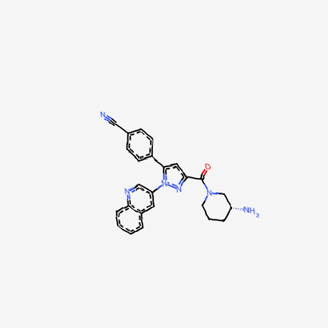 N#Cc1ccc(-c2cc(C(=O)N3CCC[C@@H](N)C3)nn2-c2cnc3ccccc3c2)cc1